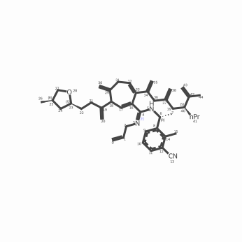 C=CC/N=C(/N[C@H](C)c1cccc(C#N)c1C)C1=CC(C(=C)CC[C@H]2C[C@@H](C)CO2)C(=C)CC=C1C(=C)CC(=C)C[C@H](CCC)C(=C)C